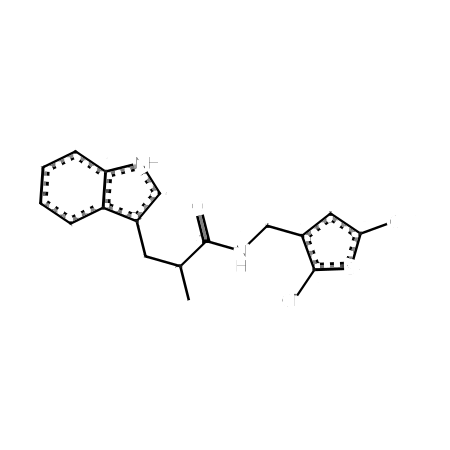 CC(Cc1c[nH]c2ccccc12)C(=O)NCc1cc(Cl)sc1Cl